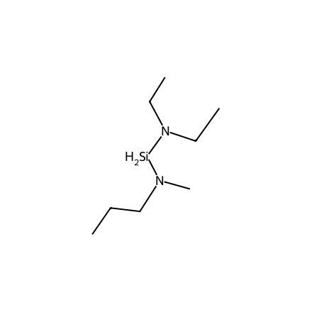 CCCN(C)[SiH2]N(CC)CC